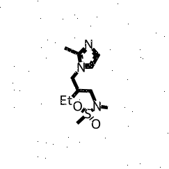 CCC(CN(C)S(C)(=O)=O)Cn1ccnc1C